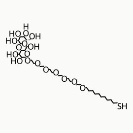 OCC1OC(OCCOCCOCCOCCOCCOCCOCCCCCCCCCCCS)C(O)C(O)C1OC1O[C@@H](CO)C(O)C(O)C1O